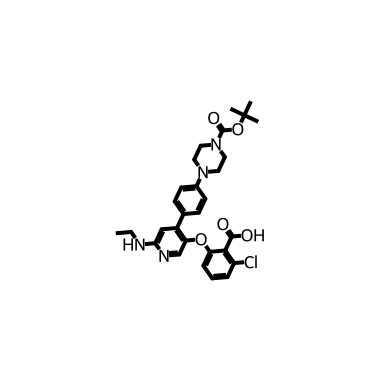 CCNc1cc(-c2ccc(N3CCN(C(=O)OC(C)(C)C)CC3)cc2)c(Oc2cccc(Cl)c2C(=O)O)cn1